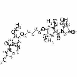 C=C1CC2C=Nc3cc(OCCCCCOc4cc5c(cc4OC)C(=O)N4CC(=C)C[C@H]4[C@H](O)N5C)c(OC)cc3C(=O)N2C1